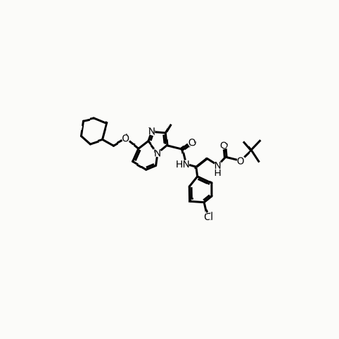 Cc1nc2c(OCC3CCCCC3)cccn2c1C(=O)NC(CNC(=O)OC(C)(C)C)c1ccc(Cl)cc1